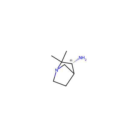 CC1(C)[C@H](N)C2CCN1C2